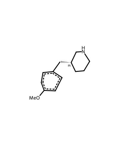 COc1ccc(C[C@H]2CCCNC2)cc1